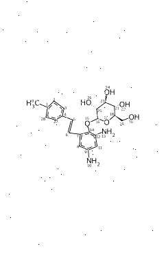 Cc1ccc(/C=C/c2cc(N)cc(N)c2OC2O[C@H](CO)[C@@H](O)[C@H](O)[C@H]2O)cc1